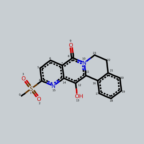 CS(=O)(=O)c1ccc2c(=O)n3c(c(O)c2n1)-c1ccccc1CC3